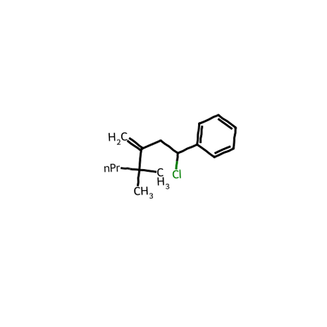 C=C(CC(Cl)c1ccccc1)C(C)(C)CCC